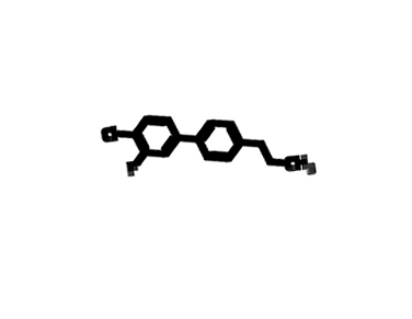 CCCc1ccc(-c2ccc(Cl)c(F)c2)cc1